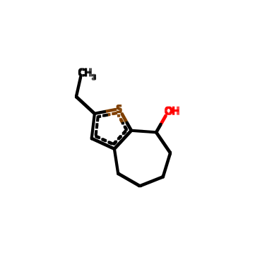 CCc1cc2c(s1)C(O)CCCC2